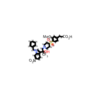 COc1cc(CCC(=O)O)ccc1S(=O)(=O)C1CCN(CC(O)(c2cn(Cc3ccccc3)c3cc([N+](=O)[O-])ccc23)C(F)(F)F)CC1